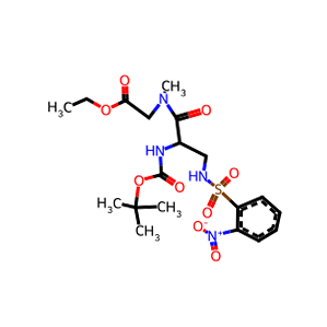 CCOC(=O)CN(C)C(=O)C(CNS(=O)(=O)c1ccccc1[N+](=O)[O-])NC(=O)OC(C)(C)C